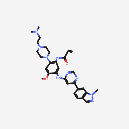 C=CC(=O)Nc1cc(Nc2cc(-c3ccc4cnn(C)c4c3)ncn2)c(OC)cc1N1CCN(CCN(C)C)CC1